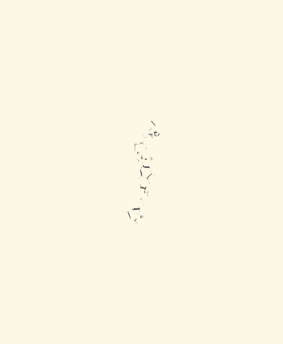 C=CS(=O)(=O)NC[C@H]1CCN(S(=O)(=O)c2ccc(CC(=O)NCCc3ccccn3)cc2)C1